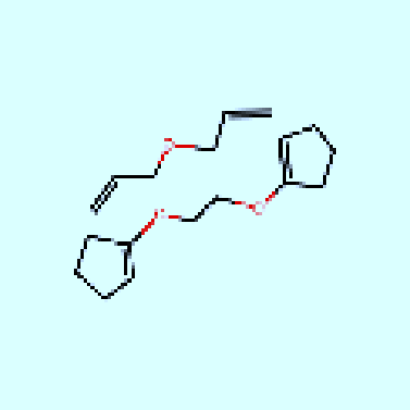 C1=C(OCCOC2=CCCC2)CCC1.C=CCOCC=C